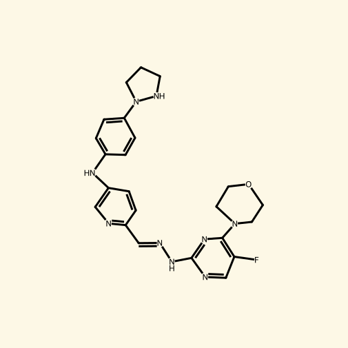 Fc1cnc(N/N=C/c2ccc(Nc3ccc(N4CCCN4)cc3)cn2)nc1N1CCOCC1